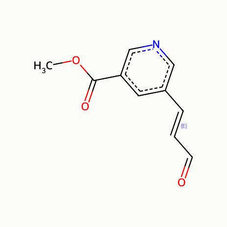 COC(=O)c1cncc(/C=C/C=O)c1